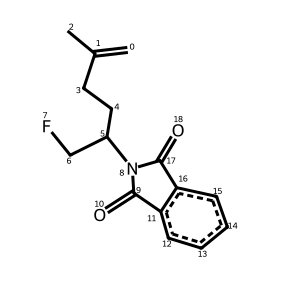 C=C(C)CCC(CF)N1C(=O)c2ccccc2C1=O